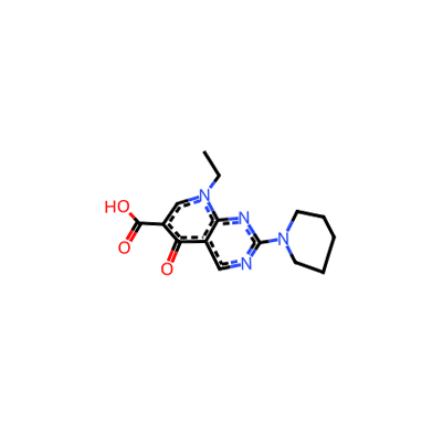 CCn1cc(C(=O)O)c(=O)c2cnc(N3CCCCC3)nc21